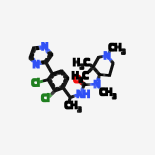 CC(NC(=O)N(C)[C@@H]1CCN(C)CC1(C)C)c1ccc(-c2cnccn2)c(Cl)c1Cl